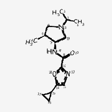 CC(C)N1C[C@H](C)[C@H](NC(=O)c2ncc(C3CC3)o2)C1